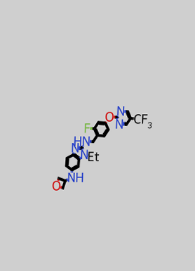 CCn1c(NCc2ccc(Oc3ncc(C(F)(F)F)cn3)cc2F)nc2ccc(NC3COC3)cc21